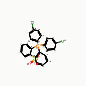 O=S(=O)([O-])c1ccccc1[P+](c1ccccc1)(c1ccc(Cl)cc1)c1ccc(Cl)cc1